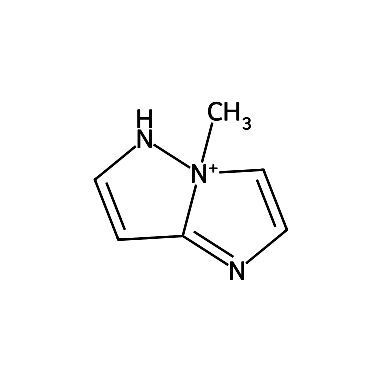 C[N+]12C=CN=C1C=CN2